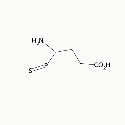 NC(CCC(=O)O)P=S